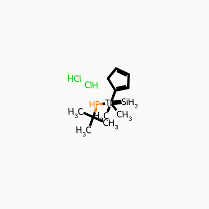 CC(C)(C)[PH][Ti]([CH3])([CH3])(=[SiH2])[C]1=CC=CC1.Cl.Cl